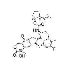 CC[C@@]1(O)C(=O)OCc2c1cc1n(c2=O)Cc2c-1nc1cc(F)c(C)c3c1c2[C@@H](NC(=O)O[C@@H]1CCC[C@H]1SSC)CC3